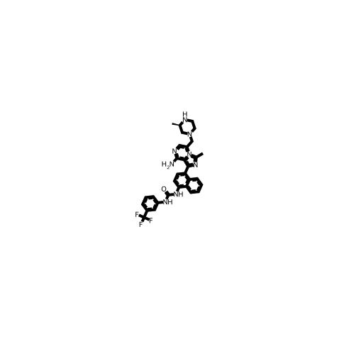 Cc1nc(-c2ccc(NC(=O)Nc3cccc(C(F)(F)F)c3)c3ccccc23)c2c(N)ncc(CN3CCN[C@H](C)C3)n12